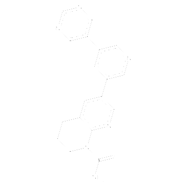 NC(=O)N1CCCc2cc(-c3cncc(-c4cncnc4)c3)cnc21